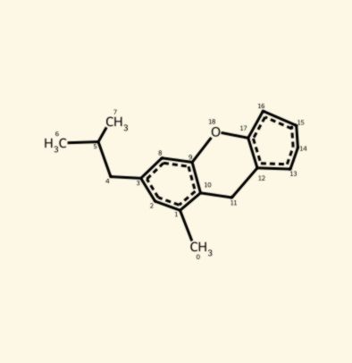 Cc1cc(CC(C)C)cc2c1Cc1ccccc1O2